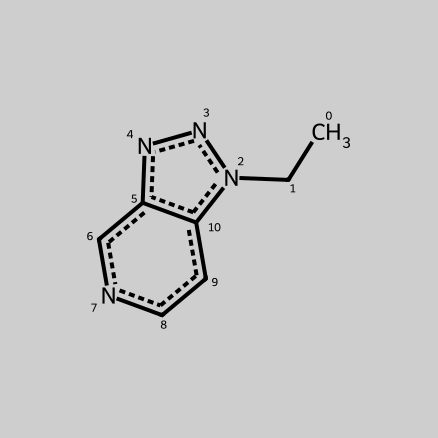 CCn1nnc2cnccc21